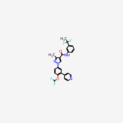 Cc1nn(-c2ccc(OC(F)F)c(-c3ccncc3)c2)cc1C(=O)Nc1cccc(C(C)(F)F)c1